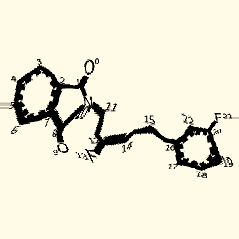 O=C1c2ccccc2C(=O)N1C/C(F)=C\Cc1cccc(F)c1